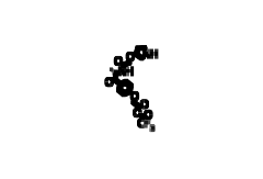 C[C@H](NC(=O)COC1CCNC1)C(=O)c1ccc(OCC(=O)OC(=O)C(F)(F)F)cc1